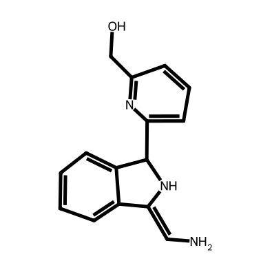 N/C=C1\NC(c2cccc(CO)n2)c2ccccc21